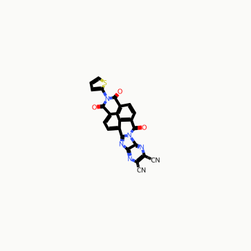 N#Cc1nc2nc3c4ccc5c6c(ccc(c(=O)n3c2nc1C#N)c64)C(=O)N(c1cccs1)C5=O